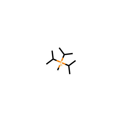 CC(C)[PH](C)(C(C)C)C(C)C